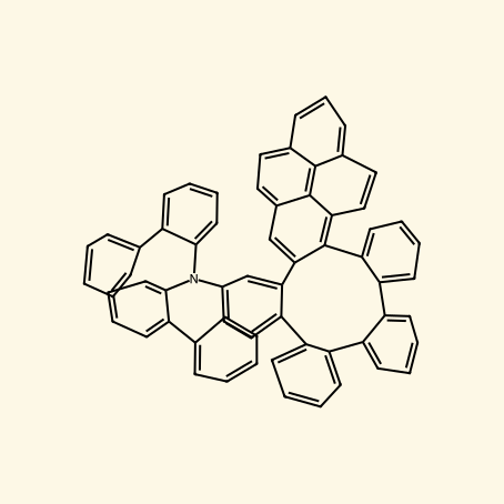 c1ccc(-c2ccccc2N(c2ccc3c4ccccc4c4ccccc4c4ccccc4c4c(cc5ccc6cccc7ccc4c5c67)c3c2)c2ccccc2-c2ccccc2)cc1